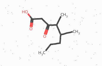 CCCC(C)C(C)C(=O)CC(=O)O